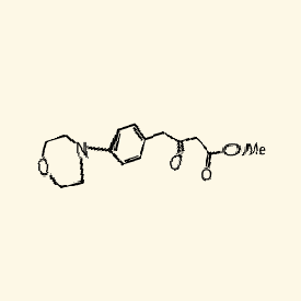 COC(=O)CC(=O)Cc1ccc(N2CCOCC2)cc1